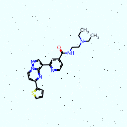 CCN(CC)CCNC(=O)c1ccnc(-c2cnn3ccc(-c4cccs4)nc23)c1